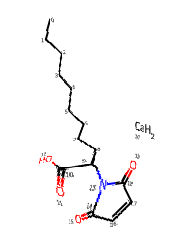 CCCCCCCCCC(C(=O)O)N1C(=O)C=CC1=O.[CaH2]